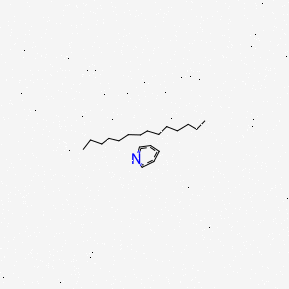 CCCCCCCCCCCCCC.c1ccncc1